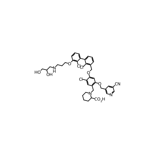 N#Cc1cncc(COc2cc(OCc3cccc(-c4cccc(OCCCNCC(O)CO)c4Cl)c3Cl)c(Cl)cc2CN2CCCCC2C(=O)O)c1